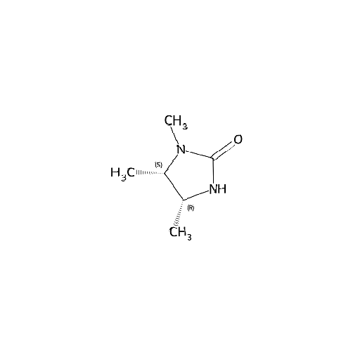 C[C@H]1NC(=O)N(C)[C@H]1C